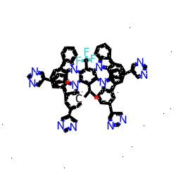 CC(C)c1c(-n2c3ccc(-c4cncnc4)cc3c3cc(-c4cncnc4)ccc32)c(-n2c3ccccc3c3ccccc32)c(C(F)(F)F)c(-n2c3ccccc3c3ccccc32)c1-n1c2ccc(-c3cncnc3)cc2c2cc(-c3cncnc3)ccc21